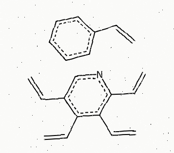 C=Cc1ccccc1.C=Cc1cnc(C=C)c(C=C)c1C=C